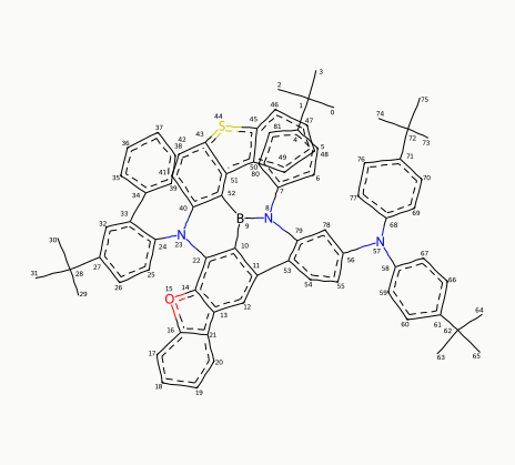 CC(C)(C)c1ccc(N2B3c4c(cc5c(oc6ccccc65)c4N(c4ccc(C(C)(C)C)cc4-c4ccccc4)c4ccc5sc6ccccc6c5c43)-c3ccc(N(c4ccc(C(C)(C)C)cc4)c4ccc(C(C)(C)C)cc4)cc32)cc1